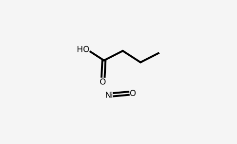 CCCC(=O)O.[O]=[Ni]